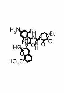 CCN1CCN(C(=N)NC(C(=O)N[C@H]2Cc3cccc(C(=O)O)c3OB2O)c2c(F)cc(N)cc2F)C(=O)C1=O